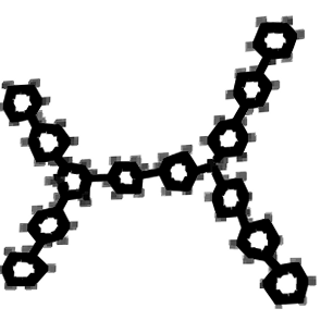 c1ccc(-c2ccc(-c3ccc(N(c4ccc(-c5ccc(-c6ccccc6)cc5)cc4)c4ccc(-c5ccc(-c6cc(-c7ccc(-c8ccccc8)cc7)nc(-c7ccc(-c8ccccc8)cc7)n6)cc5)cc4)cc3)cc2)cc1